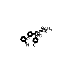 CS(=O)(=O)CCN1CC(c2cccc(Oc3ccccc3C#N)c2)N(c2ccc(Cl)cc2)C1=O